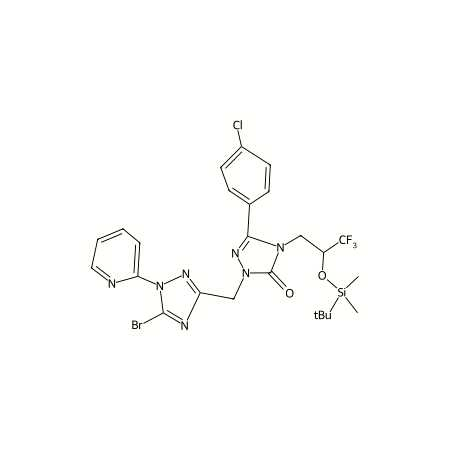 CC(C)(C)[Si](C)(C)OC(Cn1c(-c2ccc(Cl)cc2)nn(Cc2nc(Br)n(-c3ccccn3)n2)c1=O)C(F)(F)F